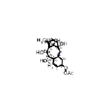 CC(=O)OOC1C=C[C@]2(C)/C(=C\[C@]3(O)CCC(C)=C([C@@H](O)[C@H]2O)C3(C)C)C1